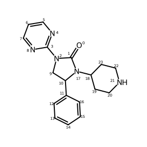 O=C1N(c2ncccn2)CC(c2ccccc2)N1C1CCNCC1